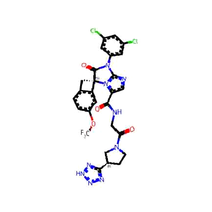 O=C(NCC(=O)N1CC[C@@H](c2nn[nH]n2)C1)c1cnc2n1[C@]1(Cc3ccc(OC(F)(F)F)cc31)C(=O)N2c1cc(Cl)cc(Cl)c1